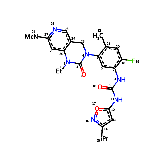 CCN1C(=O)N(c2cc(NC(=O)Nc3cc(C(C)C)no3)c(F)cc2C)Cc2cnc(NC)cc21